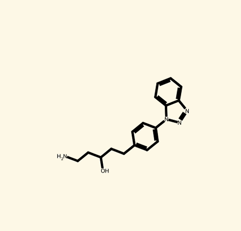 NCCC(O)CCc1ccc(-n2nnc3ccccc32)cc1